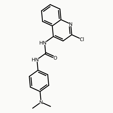 CN(C)c1ccc(NC(=O)Nc2cc(Cl)nc3ccccc23)cc1